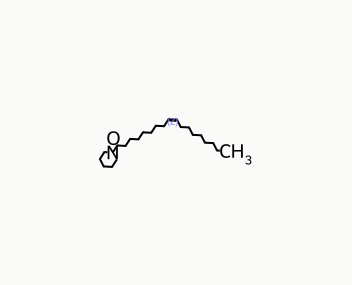 CCCCCCCC/C=C\CCCCCCCC(=O)N1CCCCC1